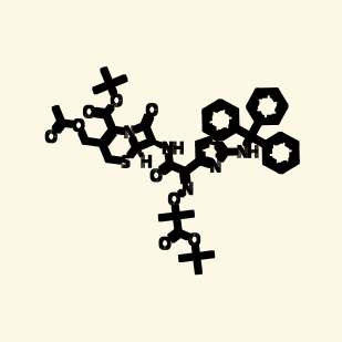 CC(=O)OCC1=C(C(=O)OC(C)(C)C)N2C(=O)[C@@H](NC(=O)/C(=N\OC(C)(C)C(=O)OC(C)(C)C)c3csc(NC(c4ccccc4)(c4ccccc4)c4ccccc4)n3)[C@H]2SC1